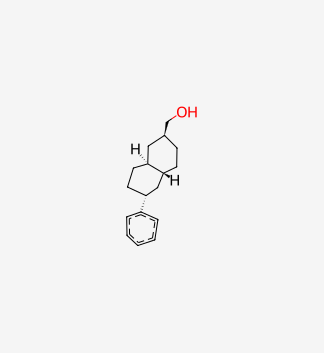 OC[C@H]1CC[C@@H]2C[C@H](c3ccccc3)CC[C@H]2C1